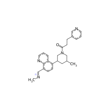 C/N=C/c1ccc(C2CC(C)CN(C(=O)CCc3cccnc3)C2)c2cccnc12